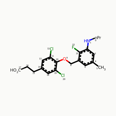 CCCNc1cc(C)cc(COc2c(Cl)cc(CCC(=O)O)cc2Cl)c1F